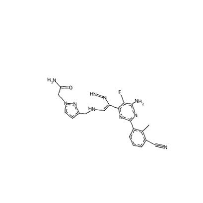 Cc1c(C#N)cccc1-c1nc(N)c(F)c(/C(=C/NCc2ccn(CC(N)=O)n2)N=N)n1